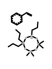 C=Cc1ccccc1.CCC[SiH]1O[Si](C)(C)O[Si](C)(C)O[Si](CCC)(CCC)O1